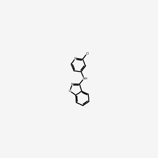 Clc1cc(Nc2noc3ccccc23)ccn1